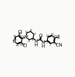 N#Cc1cc(NC(=O)NC2CCCN(c3c(Cl)cncc3Cl)C2)ccc1F